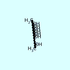 C=CCC(O)CC(O)CC(O)CC(O)CC(O)CC(O)CCCCCC(O)CCC